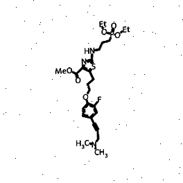 CCOP(=O)(CCCNc1nc(C(=O)OC)c(CCCOc2ccc(C#CCN(C)C)cc2F)s1)OCC